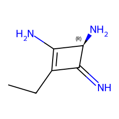 CCC1=C(N)[C@@H](N)C1=N